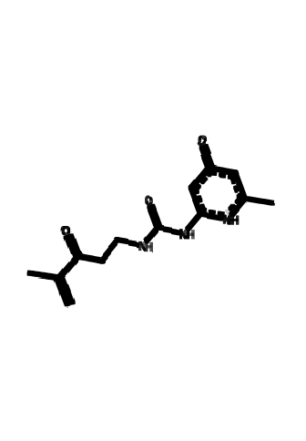 C=C(C)C(=O)CCNC(=O)Nc1cc(=O)cc(C)[nH]1